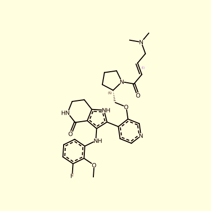 COc1c(F)cccc1Nc1c(-c2ccncc2OC[C@@H]2CCCN2C(=O)/C=C/CN(C)C)[nH]c2c1C(=O)NCC2